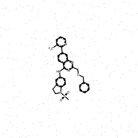 CS(=O)(=O)N1CCc2cc(Nc3nc(COCc4ccccc4)nc4cc(-c5ncccc5C(F)(F)F)ccc34)ccc21